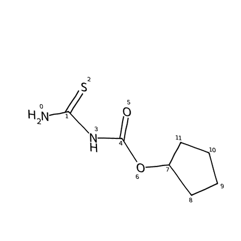 NC(=S)NC(=O)OC1CCCC1